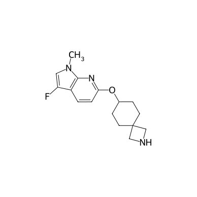 Cn1cc(F)c2ccc(OC3CCC4(CC3)CNC4)nc21